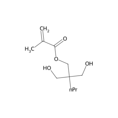 C=C(C)C(=O)OCC(CO)(CO)CCC